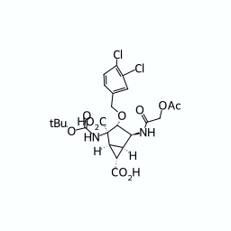 CC(=O)OCC(=O)N[C@H]1[C@H]2[C@H](C(=O)O)[C@H]2[C@](NC(=O)OC(C)(C)C)(C(=O)O)[C@@H]1OCc1ccc(Cl)c(Cl)c1